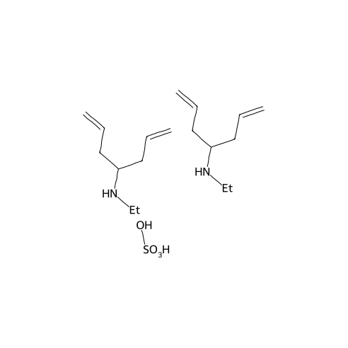 C=CCC(CC=C)NCC.C=CCC(CC=C)NCC.O=S(=O)(O)O